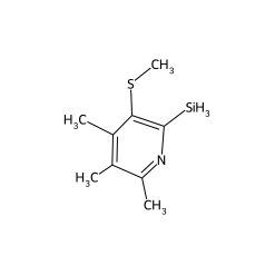 CSc1c([SiH3])nc(C)c(C)c1C